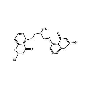 CCc1cc(=O)c2c(OCC(COc3cccc4oc(CC)cc(=O)c34)OC(C)=O)cccc2o1